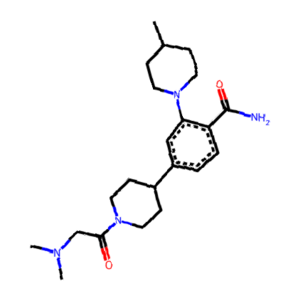 CC1CCN(c2cc(C3CCN(C(=O)CN(C)C)CC3)ccc2C(N)=O)CC1